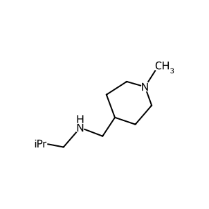 CC(C)CNCC1CCN(C)CC1